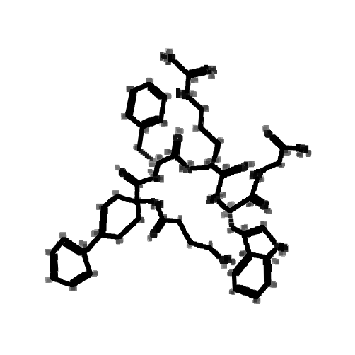 CCCCC(=O)NC1(C(=O)N[C@H](Cc2ccccc2)C(=O)N[C@@H](CCCNC(=N)N)C(=O)N[C@@H](Cc2c[nH]c3ccccc23)C(=O)NCC(N)=O)CC=C(c2ccccc2)CC1